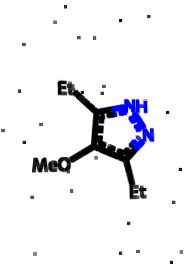 CCc1n[nH]c(CC)c1OC